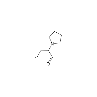 [CH2]CC(C=O)N1CCCC1